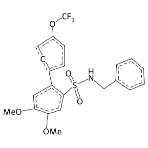 COc1cc(-c2ccc(OC(F)(F)F)cc2)c(S(=O)(=O)NCc2ccccc2)cc1OC